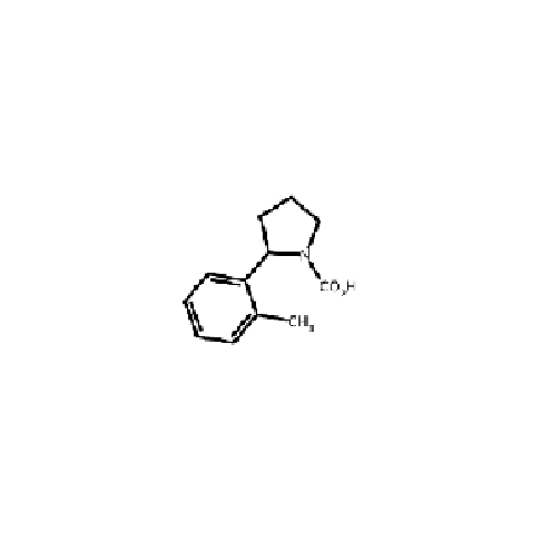 Cc1ccccc1C1CCCN1C(=O)O